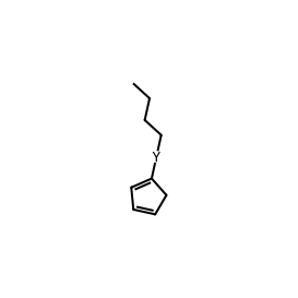 CCC[CH2][Y][C]1=CC=CC1